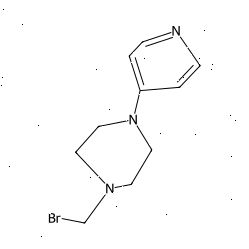 BrCN1CCN(c2ccncc2)CC1